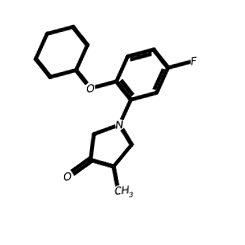 CC1CN(c2cc(F)ccc2OC2CCCCC2)CC1=O